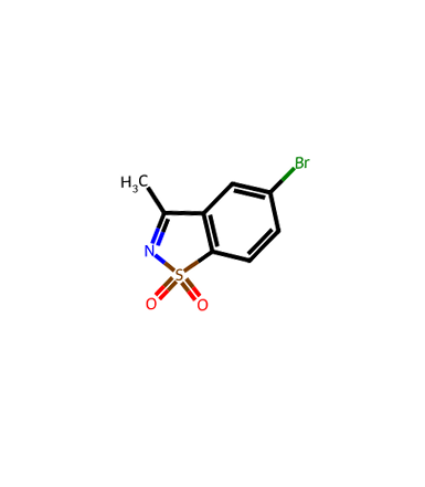 CC1=NS(=O)(=O)c2ccc(Br)cc21